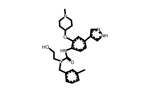 Cc1cccc(CN(CCO)C(=O)Nc2ccc(-c3cn[nH]c3)cc2OC2CCN(C)CC2)c1